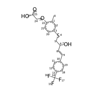 Cc1cc(SCC(O)/C=C/c2ccc(C(F)(F)F)cc2)ccc1OCC(=O)O